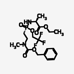 CCOC(=O)[C@H](C)N[P@@](=O)(CCN(C)C(=O)OCc1ccccc1)OCC(F)(F)F